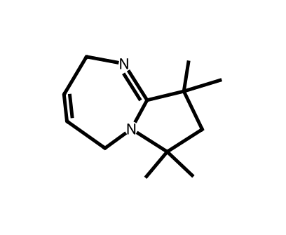 CC1(C)CC(C)(C)N2CC=CCN=C21